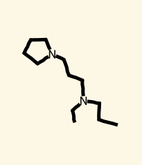 CCCN(CC)CCCN1CCCC1